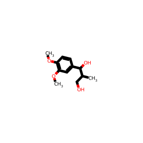 COc1ccc(C(O)C(C)CO)cc1OC